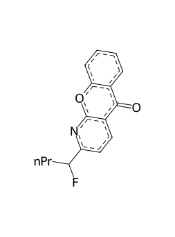 CCCC(F)c1ccc2c(=O)c3ccccc3oc2n1